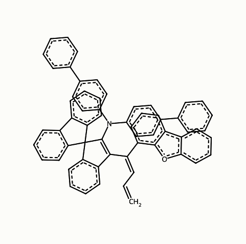 C=C/C=C(\C1=C(N(c2ccc(-c3ccccc3)cc2)c2ccc(-c3ccccc3)cc2)C2(c3ccccc31)c1ccccc1-c1ccccc12)c1cccc2c1oc1ccccc12